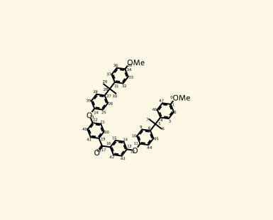 COc1ccc(C(C)(C)c2ccc(Oc3ccc(C(=O)c4ccc(Oc5ccc(C(C)(C)c6ccc(OC)cc6)cc5)cc4)cc3)cc2)cc1